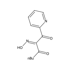 CCCCC(=O)C(=NO)C(=O)c1ccccn1